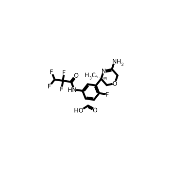 C[C@@]1(c2cc(NC(=O)C(F)(F)C(F)F)ccc2F)COCC(N)=N1.O=CO